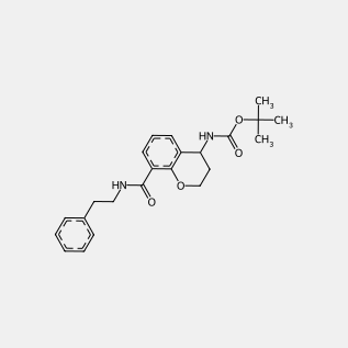 CC(C)(C)OC(=O)NC1CCOc2c(C(=O)NCCc3ccccc3)cccc21